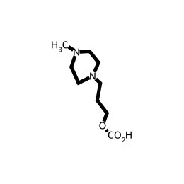 CN1CCN(CCCOC(=O)O)CC1